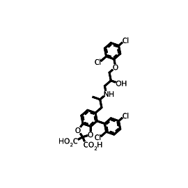 CC(Cc1ccc2c(c1-c1cc(Cl)ccc1Cl)OC(C(=O)O)(C(=O)O)O2)NCC(O)COc1cc(Cl)ccc1Cl